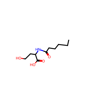 CCCCCC(=O)NC(CCO)C(=O)O